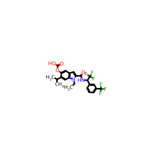 CCn1c(C(=O)NC(c2cccc(C(F)(F)F)c2)C(F)(F)F)cc2cc(OC(=O)O)c(C(C)C)cc21